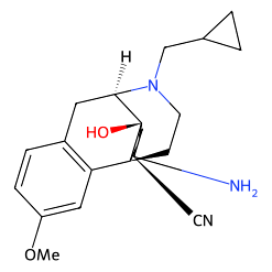 COc1ccc2c(c1)[C@]13CCN(CC4CC4)[C@H](C2)[C@]1(O)CC[C@@](N)(C#N)C3